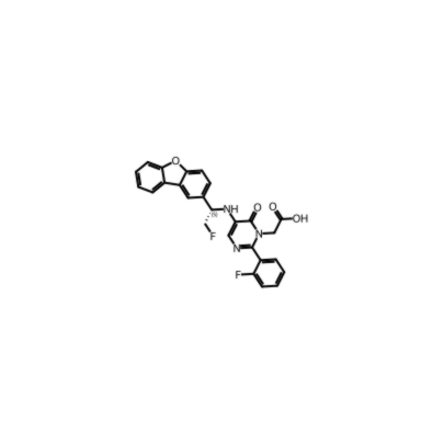 O=C(O)Cn1c(-c2ccccc2F)ncc(N[C@H](CF)c2ccc3oc4ccccc4c3c2)c1=O